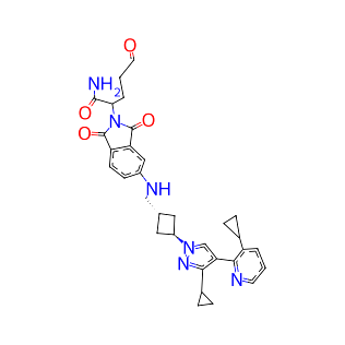 NC(=O)C(CCC=O)N1C(=O)c2ccc(NC[C@H]3C[C@H](n4cc(-c5ncccc5C5CC5)c(C5CC5)n4)C3)cc2C1=O